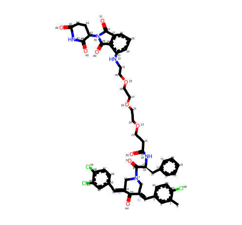 Cc1cc(/C=C2\CN(C(=O)[C@H](Cc3ccccc3)NC(=O)CCOCCOCCOCCNc3cccc4c3C(=O)N(C3CCC(=O)NC3=O)C4=O)C/C(=C\c3ccc(Cl)c(Cl)c3)C2=O)ccc1Cl